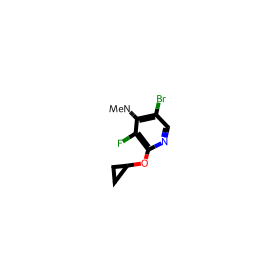 CNc1c(Br)cnc(OC2CC2)c1F